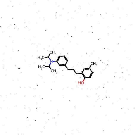 Cc1ccc(O)c(CCCc2cccc(N(C(C)C)C(C)C)c2)c1